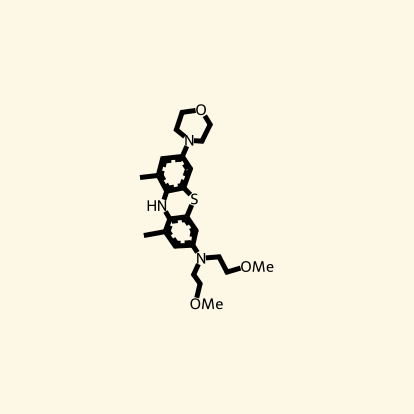 COCCN(CCOC)c1cc(C)c2c(c1)Sc1cc(N3CCOCC3)cc(C)c1N2